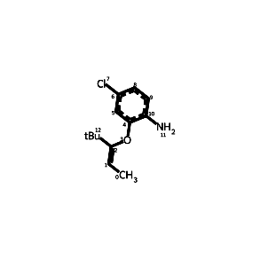 C/C=C(\Oc1cc(Cl)ccc1N)C(C)(C)C